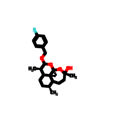 C[C@H]1C(OCc2ccc(F)cc2)O[C@]23C[C@]24C1CC[C@@H](C)C4CC[C@@](C)(O)O3